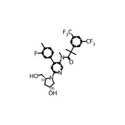 Cc1ccc(-c2cc(N3C[C@H](O)C[C@H]3CO)ncc2N(C)C(=O)C(C)(C)c2cc(C(F)(F)F)cc(C(F)(F)F)c2)cc1F